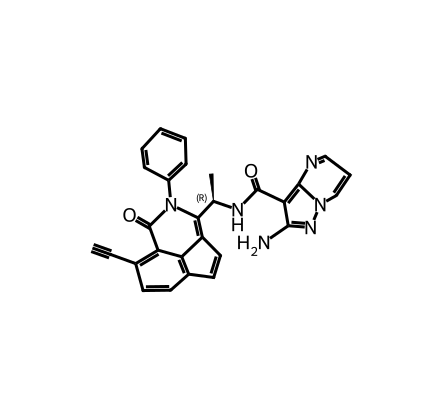 C#Cc1ccc2c3c(c([C@@H](C)NC(=O)c4c(N)nn5cccnc45)n(-c4ccccc4)c(=O)c13)C=C2